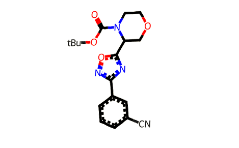 CC(C)(C)OC(=O)N1CCOCC1c1nc(-c2cccc(C#N)c2)no1